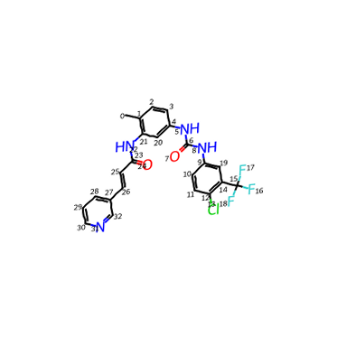 Cc1ccc(NC(=O)Nc2ccc(Cl)c(C(F)(F)F)c2)cc1NC(=O)C=Cc1cccnc1